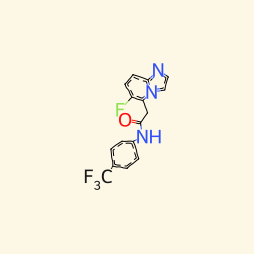 O=C(Cc1c(F)ccc2nccn12)Nc1ccc(C(F)(F)F)cc1